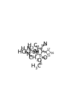 CCOC(=O)c1cnc(C)c(C#N)c1C1CCC1.CN=C(N)S.Cl